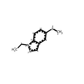 CCn1ncc2cc(SC)ccc21